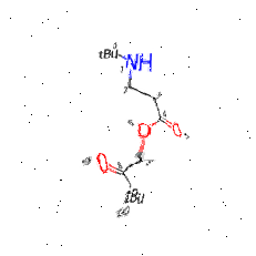 CC(C)(C)NCCC(=O)OCC(=O)C(C)(C)C